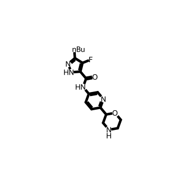 CCCCc1n[nH]c(C(=O)Nc2ccc(C3CNCCO3)nc2)c1F